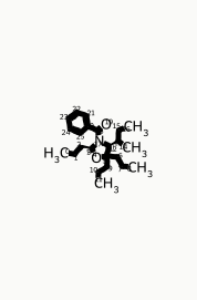 CCC[C@@H]1OC(CCC)(CCC)[C@H](C(C)CC)N1C(=O)c1ccccc1